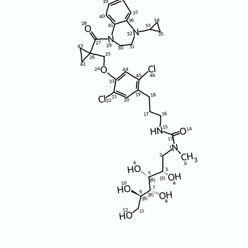 CN(C[C@H](O)[C@@H](O)[C@H](O)[C@H](O)CO)C(=O)NCCCc1cc(Cl)c(OCC2(C(=O)N3CCN(C4CC4)c4ccccc43)CC2)cc1Cl